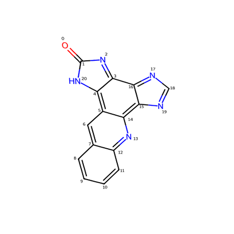 O=C1N=c2c(c3cc4ccccc4nc3c3c2=NC=N3)N1